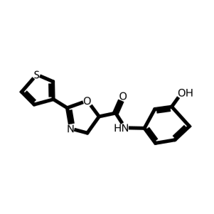 O=C(Nc1cccc(O)c1)C1CN=C(c2ccsc2)O1